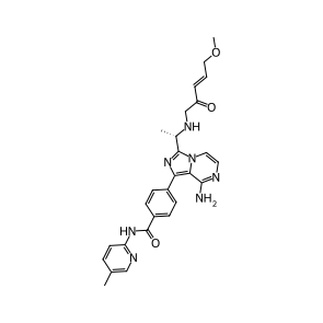 COC/C=C/C(=O)CN[C@@H](C)c1nc(-c2ccc(C(=O)Nc3ccc(C)cn3)cc2)c2c(N)nccn12